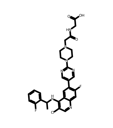 CC(Nc1c(Cl)cnc2cc(F)c(-c3cnc(N4CCN(CC(=O)NCC(=O)O)CC4)nc3)cc12)c1ccccc1F